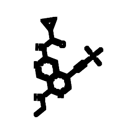 CCNc1ncc(C#C[Si](C)(C)C)c2cc(NC(=O)C3CC3)ncc12